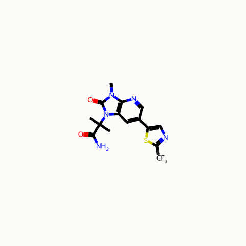 Cn1c(=O)n(C(C)(C)C(N)=O)c2cc(-c3cnc(C(F)(F)F)s3)cnc21